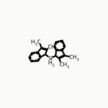 CC1=C(C)c2ccccc2[C]1[SiH2][C]1C(C)=C(C)c2ccccc21